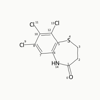 O=C1CCSc2c(cc(Cl)c(Cl)c2Cl)N1